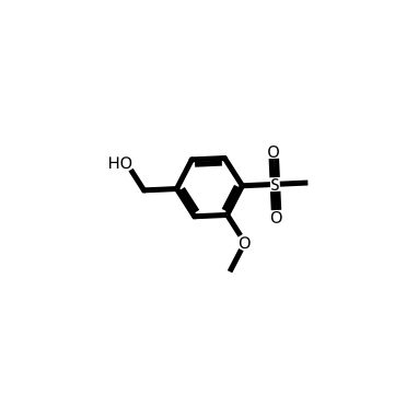 COc1cc(CO)ccc1S(C)(=O)=O